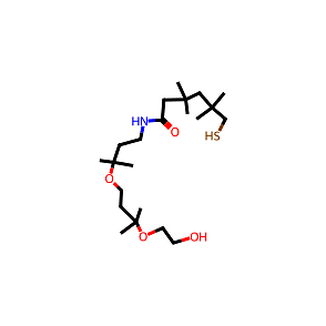 CC(C)(CS)CC(C)(C)CC(=O)NCCC(C)(C)OCCC(C)(C)OCCO